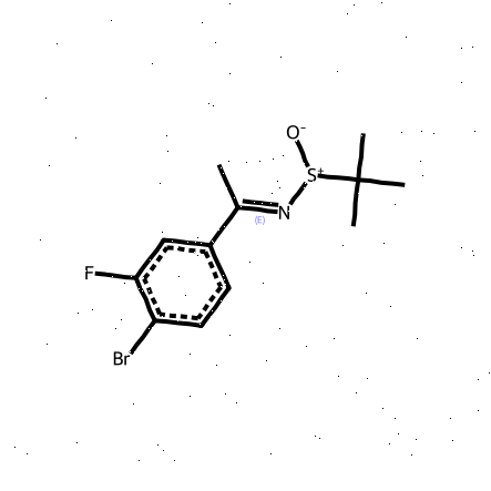 C/C(=N\[S+]([O-])C(C)(C)C)c1ccc(Br)c(F)c1